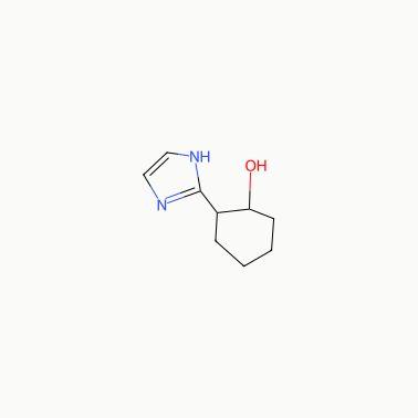 OC1CCCCC1c1ncc[nH]1